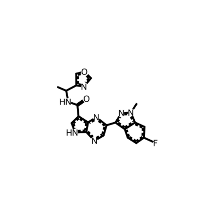 CC(NC(=O)c1c[nH]c2ncc(-c3nn(C)c4cc(F)ccc34)nc12)c1cocn1